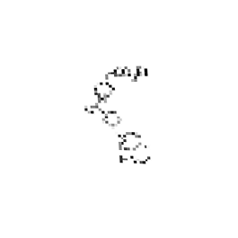 CCOC(=O)CC1CCN(C(=O)N2CCC(Cc3ccc4c(n3)NCCC4)C2)CC1